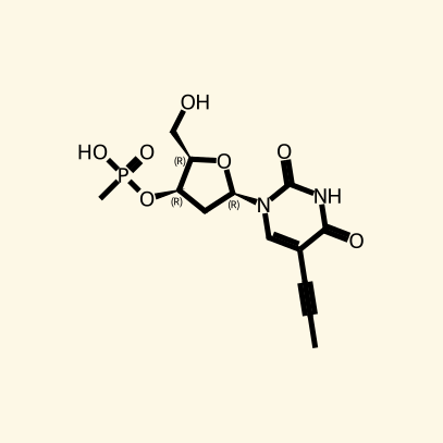 CC#Cc1cn([C@H]2C[C@@H](OP(C)(=O)O)[C@@H](CO)O2)c(=O)[nH]c1=O